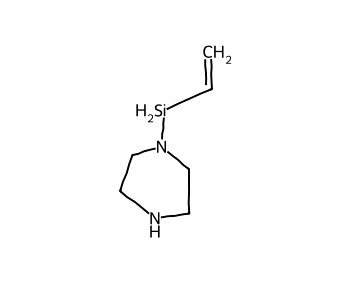 C=C[SiH2]N1CCNCC1